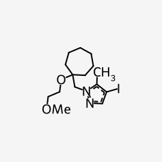 COCCOC1(Cn2ncc(I)c2C)CCCCCC1